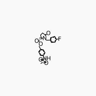 CS(=O)(=O)Nc1ccc(COC(=O)[C@@H]2CCC(=O)N2Cc2ccc(F)cc2)cc1